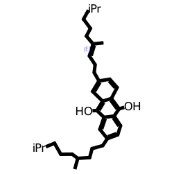 C/C(=C\CCc1ccc2c(O)c3ccc(CCCC(C)CCCC(C)C)cc3c(O)c2c1)CCCC(C)C